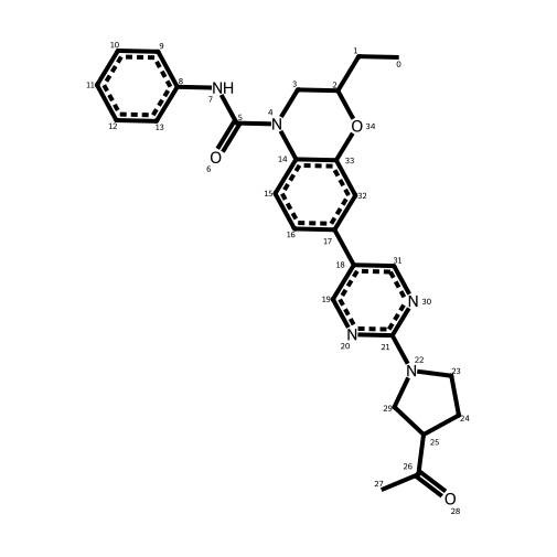 CCC1CN(C(=O)Nc2ccccc2)c2ccc(-c3cnc(N4CCC(C(C)=O)C4)nc3)cc2O1